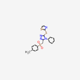 Cc1ccc(S(=O)(=O)Cc2nnc(Sc3nccs3)n2-c2ccccc2)cc1